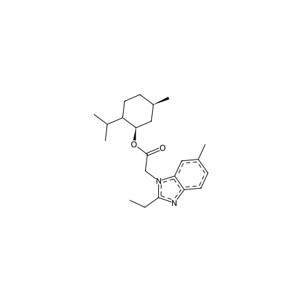 CCc1nc2ccc(C)cc2n1CC(=O)O[C@@H]1C[C@H](C)CCC1C(C)C